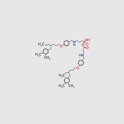 CCCC(CCCOc1ccc(CNCCCP(=O)(O)OC(=O)CCNCc2ccc(OCCCC(CC)Cc3ccc(C)c(C)c3)cc2)cc1)Cc1ccc(C)c(C)c1